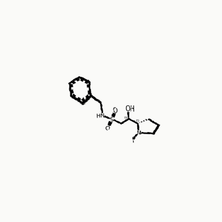 O=S(=O)(C[C@@H](O)[C@@H]1CCCN1I)NCc1ccccc1